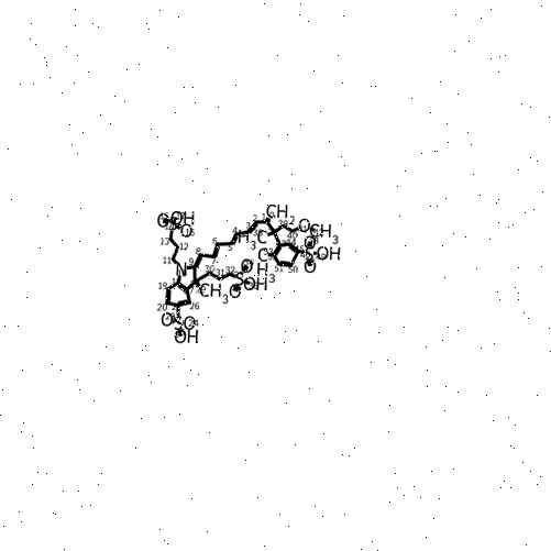 C=C(/C=C/C=C/C=C/C=C1/N(CCCS(=O)(=O)O)c2ccc(S(=O)(=O)O)cc2C1(C)CCCS(=O)(=O)O)C(C)(CCOC)c1cc(S(=O)(=O)O)ccc1C